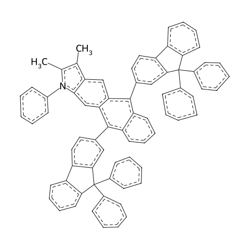 Cc1c(C)n(-c2ccccc2)c2cc3c(-c4ccc5c(c4)C(c4ccccc4)(c4ccccc4)c4ccccc4-5)c4ccccc4c(-c4ccc5c(c4)C(c4ccccc4)(c4ccccc4)c4ccccc4-5)c3cc12